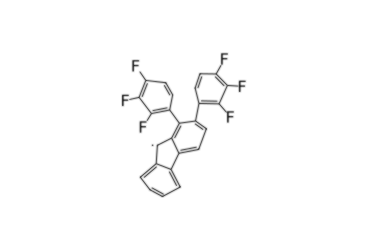 Fc1ccc(-c2ccc3c(c2-c2ccc(F)c(F)c2F)[CH]c2ccccc2-3)c(F)c1F